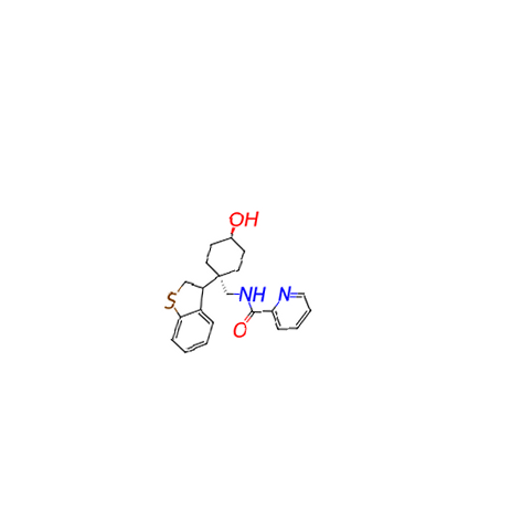 O=C(NC[C@]1(C2CSc3ccccc32)CC[C@@H](O)CC1)c1ccccn1